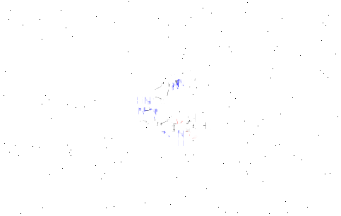 CN1C2CCC1CN(c1ccc(Nc3nccc(-c4cnc5c(c4)OC(C)(C)C(=O)N5)n3)cc1)C2